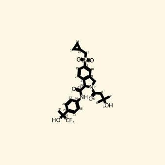 CC(C)(O)CC(=O)N1Cc2cc(S(=O)(=O)CC3CC3)ccc2C1C(=O)Nc1ccc(C(C)(O)C(F)(F)F)cc1